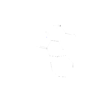 N#CC(C#N)=C1CC2(CCCCCCC2)CC(=O)/C1=C/C(=O)O